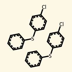 Clc1ccc(Sc2ccccc2)cc1.Clc1ccc(Sc2ccccc2)cc1